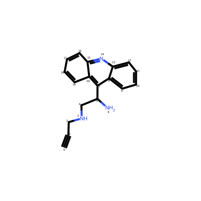 C#CCNCC(N)c1c2ccccc2nc2ccccc12